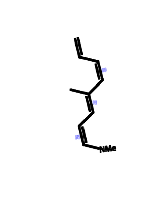 C=C\C=C/C(C)=C/C=C\NC